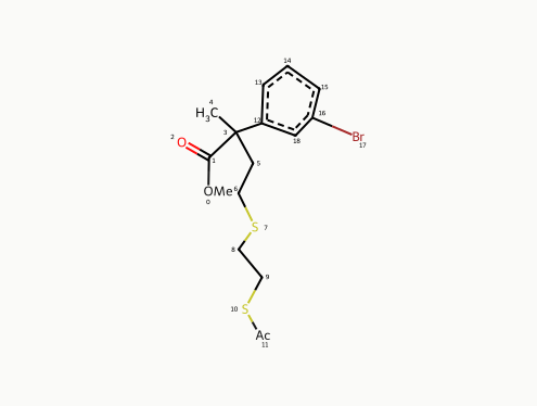 COC(=O)C(C)(CCSCCSC(C)=O)c1cccc(Br)c1